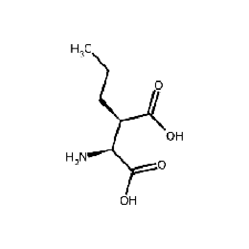 CCC[C@@H](C(=O)O)[C@H](N)C(=O)O